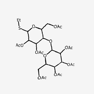 CCSC1OC(COC(C)=O)C(OC2OC(COC(C)=O)C(OC(C)=O)C(OC(C)=O)C2OC(C)=O)C(OC(C)=O)C1OC(C)=O